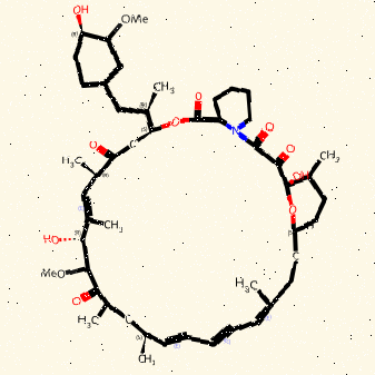 COC1CC(C[C@@H](C)[C@@H]2CC(=O)[C@H](C)/C=C(\C)[C@@H](O)C(OC)C(=O)C(C)C[C@H](C)/C=C/C=C/C=C(\C)CC[C@@H]3CCC(C)C(O)(O3)C(=O)C(=O)N3CCCCC3C(=O)O2)CC[C@H]1O